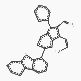 C=Cc1c(/C=C\C)c2cc(-c3cccc4c3oc3ccccc34)ccc2n1-c1ccccc1